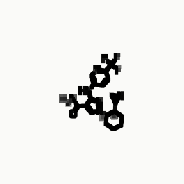 NC(=O)c1cn([C@H]2CCCC[C@@H]2C2C=N2)nc1Nc1ccc(C(F)(F)F)nc1